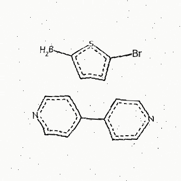 Bc1ccc(Br)s1.c1cc(-c2ccncc2)ccn1